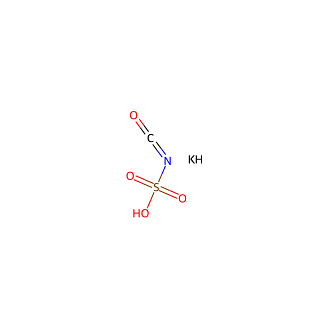 O=C=NS(=O)(=O)O.[KH]